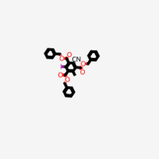 Cc1c(C(=O)OCc2ccccc2)c(I)c(C(=O)OCc2ccccc2)c(C#N)c1C(=O)OCc1ccccc1